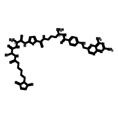 CC(C)C(NC(=O)CCCCCN1C(=O)C=CC1=O)C(=O)N[C@@H](C)C(=O)Nc1ccc(C(=O)NCCC[C@H](NC(=O)c2ccc(NCc3cnc4nc(N)nc(N)c4n3)cc2)C(=O)O)s1